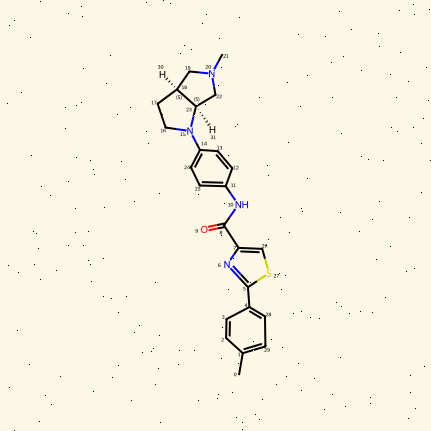 Cc1ccc(-c2nc(C(=O)Nc3ccc(N4CC[C@H]5CN(C)C[C@H]54)cc3)cs2)cc1